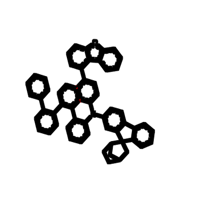 c1ccc(-c2ccccc2-c2ccccc2-c2ccccc2N(c2ccc(-c3cccc4oc5ccccc5c34)cc2)c2ccc3c(c2)C2(CC4CCC2C4)c2ccccc2-3)cc1